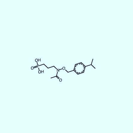 CC(=O)N(CCCP(=O)(O)O)OCc1ccc(C(C)C)cc1